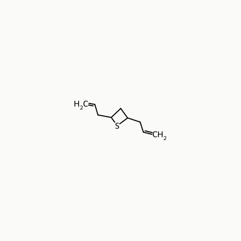 C=CCC1CC(CC=C)S1